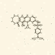 CN(C)c1ccc(S(=O)(=O)Nc2cccc(C(c3c(O)c4c(oc3=O)CCCCCC4=O)C3CC3)c2)cc1